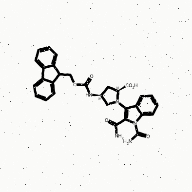 NC(=O)c1c(N2C[C@@H](NC(=O)OCC3c4ccccc4-c4ccccc43)C[C@H]2C(=O)O)c2ccccc2n1C(N)=O